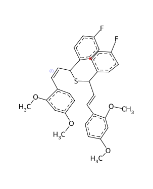 COc1ccc(C=CC(SC(/C=C\c2ccc(OC)cc2OC)c2ccc(F)cc2)c2ccc(F)cc2)c(OC)c1